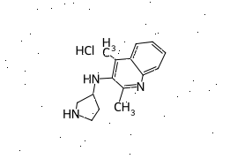 Cc1nc2ccccc2c(C)c1NC1CCNC1.Cl